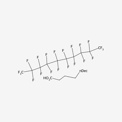 CCCCCCCCCCCCCC(=O)O.FC(F)(F)C(F)(F)C(F)(F)C(F)(F)C(F)(F)C(F)(F)C(F)(F)C(F)(F)C(F)(F)C(F)(F)F